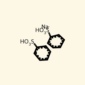 O=S(=O)(O)c1ccccc1.O=S(=O)(O)c1ccccc1.[Na]